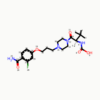 CC(C)(C)[C@@](C)(NC(=O)O)C(=O)N1CCN(CCCOc2ccc(C(N)=O)c(F)c2)CC1